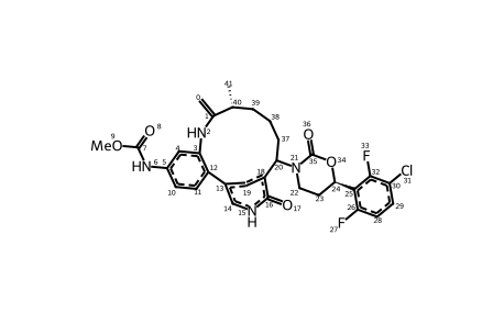 C=C1Nc2cc(NC(=O)OC)ccc2-c2c[nH]c(=O)c(c2)C(N2CC[C@H](c3c(F)ccc(Cl)c3F)OC2=O)CCC[C@H]1C